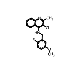 COc1ccc(F)c(CNc2c(Cl)c(C)nc3ccccc23)c1